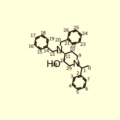 CC(c1ccccc1)N1CC[C@H](N(Cc2ccccc2)Cc2ccccc2)[C@@H](O)C1